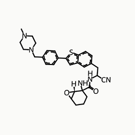 CN1CCN(Cc2ccc(-c3cc4cc(CC(C#N)NC(=O)C5(N)CCCC6O[C@@H]65)ccc4s3)cc2)CC1